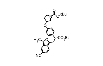 CCOC(=O)C(Cc1oc(C)c2cc(C#N)ccc12)c1ccc(O[C@H]2CCN(C(=O)OC(C)(C)C)C2)cc1